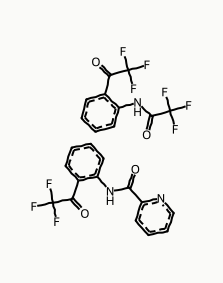 O=C(Nc1ccccc1C(=O)C(F)(F)F)C(F)(F)F.O=C(Nc1ccccc1C(=O)C(F)(F)F)c1ccccn1